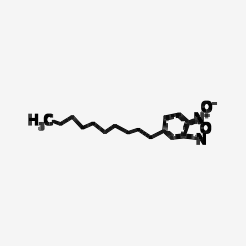 CCCCCCCCCCc1ccc2c(c1)no[n+]2[O-]